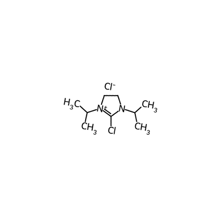 CC(C)N1CC[N+](C(C)C)=C1Cl.[Cl-]